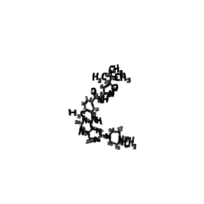 Cc1ccc(C(=O)Nc2cc(C(C)(C)C)on2)cc1Nc1ncnc2cnc(N3CCN(C)CC3)nc12